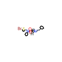 O=C(O[C@H]1C[N+]2(CCCc3ccccc3)CCC1CC2)N(Cc1ccc(Br)s1)c1ccccc1